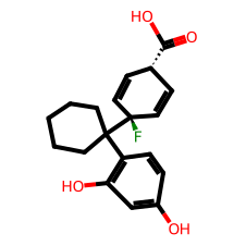 O=C(O)[C@H]1C=C[C@@](F)(C2(c3ccc(O)cc3O)CCCCC2)C=C1